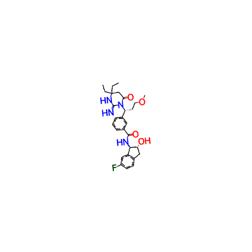 CCC1(CC)CC(=O)N([C@H](CCOC)c2cccc(C(=O)N[C@@H]3c4cc(F)ccc4C[C@H]3O)c2)C(=N)N1